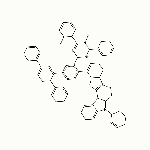 CC1C=CC=CC1C1=NC(c2cc(C3=CC(C4=CC=CCC4)=CCC3C3=CCCC=C3)ccc2C2=CCCC3C4=C(SC23)C2C3=CCCC=C3N(C3C=CCCC3)C2CC4)NC(C2=CC=CCC2)N1C